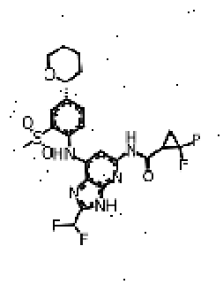 CS(=O)(=O)c1cc([C@H]2CCCCO2)ccc1Nc1cc(NC(=O)C2CC2(F)F)nc2[nH]c(C(F)F)nc12